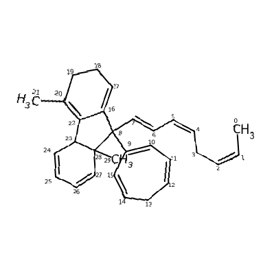 C/C=C\C/C=C\C=C\C1(C2=CC=CCC=C2)C2=CCCC(C)=C2C2C=CC=CC21C